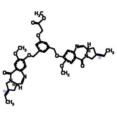 C/C=C1\C[C@H]2C=Nc3cc(OCc4cc(COc5cc6c(cc5OC)C(=O)N5C/C(=C/C)C[C@H]5C=N6)cc(OCC(=O)OC)c4)c(OC)cc3C(=O)N2C1